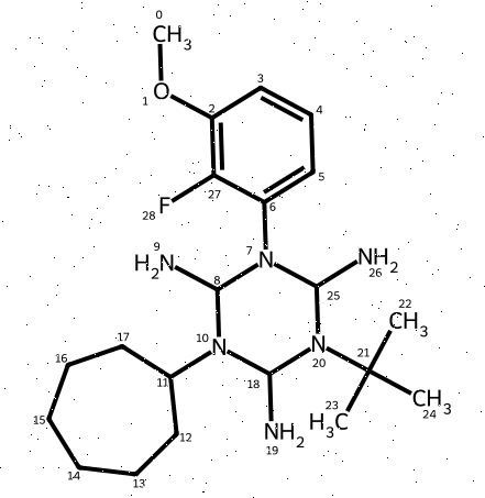 COc1cccc(N2C(N)N(C3CCCCCC3)C(N)N(C(C)(C)C)C2N)c1F